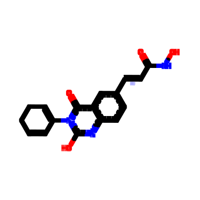 O=C(/C=C/c1ccc2nc(O)n(C3=CCCC=C3)c(=O)c2c1)NO